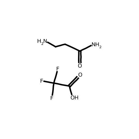 NCCC(N)=O.O=C(O)C(F)(F)F